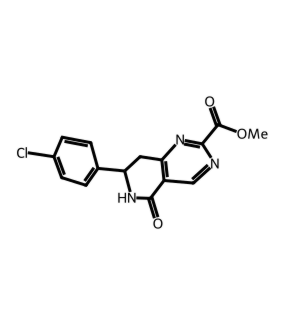 COC(=O)c1ncc2c(n1)CC(c1ccc(Cl)cc1)NC2=O